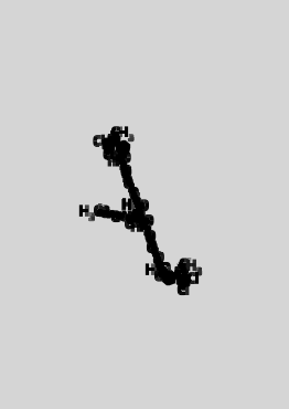 CCOCCOCCNC(=O)c1cc(C(=O)NCCOCCOCCOCCNS(=O)(=O)c2cccc(C3CN(C)Cc4c(Cl)cc(Cl)cc43)c2)cc(C(=O)NCCOCCOCCOCCNS(=O)(=O)c2cccc(C3CN(C)Cc4c(Cl)cc(Cl)cc43)c2)c1